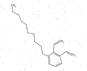 C=Cc1cccc(CCCCCCCCCC)c1C=C